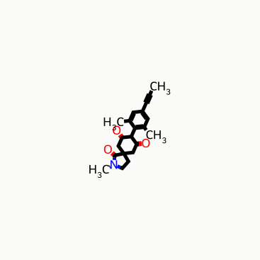 CC#Cc1cc(C)c(C2C(=O)CC3(CCN(C)C3=O)CC2=O)c(C)c1